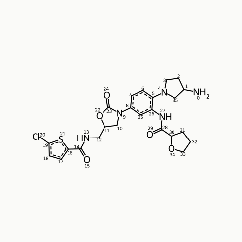 NC1CCN(c2ccc(N3CC(CNC(=O)c4ccc(Cl)s4)OC3=O)cc2NC(=O)C2CCCO2)C1